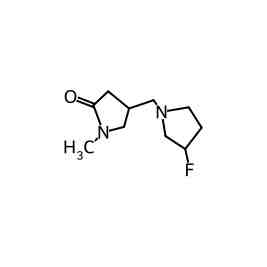 CN1CC(CN2CCC(F)C2)CC1=O